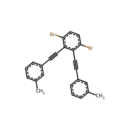 Cc1cccc(C#Cc2c(Br)ccc(Br)c2C#Cc2cccc(C)c2)c1